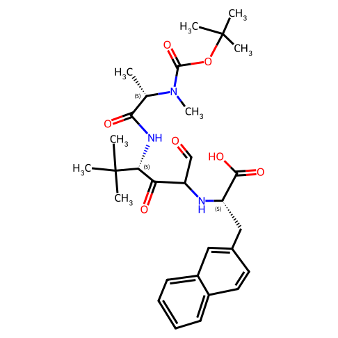 C[C@@H](C(=O)N[C@H](C(=O)C(C=O)N[C@@H](Cc1ccc2ccccc2c1)C(=O)O)C(C)(C)C)N(C)C(=O)OC(C)(C)C